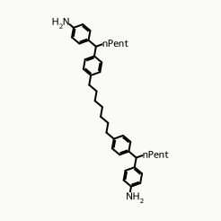 CCCCCC(c1ccc(N)cc1)c1ccc(CCCCCCCc2ccc(C(CCCCC)c3ccc(N)cc3)cc2)cc1